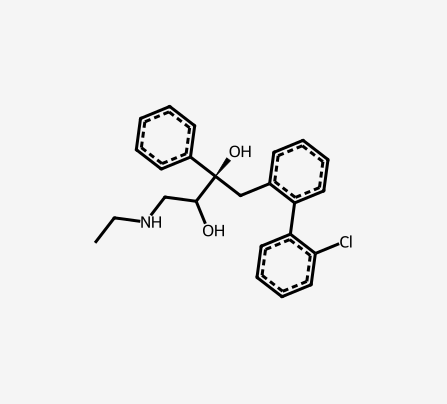 CCNCC(O)[C@@](O)(Cc1ccccc1-c1ccccc1Cl)c1ccccc1